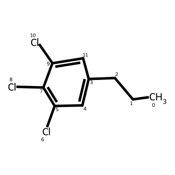 CCCc1cc(Cl)c(Cl)c(Cl)c1